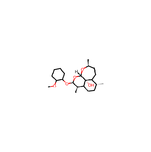 COC1CCCCC1OC1O[C@@H]2O[C@@H](C)CCC3[C@H](C)CCC([C@H]1C)[C@]32O